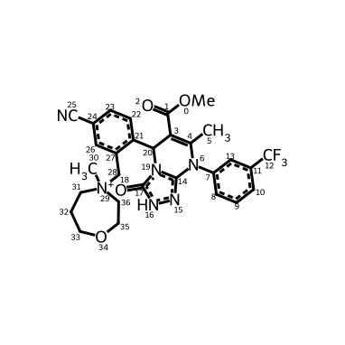 COC(=O)C1=C(C)N(c2cccc(C(F)(F)F)c2)c2n[nH]c(=O)n2C1c1ccc(C#N)cc1C[N+]1(C)CCCOCC1